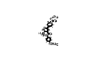 CC(=O)Nc1ccc(NC(=O)c2cc(C3=CCN(C(=O)OC(C)(C)C)CC3)cnc2N)cc1